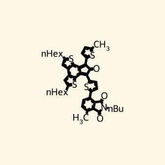 CCCCCCc1cc2c(s1)c1c(c3sc(CCCCCC)cc32)=C(c2ccc(-c3ccc(C)c4c3C(=O)N(CCCC)C4=O)s2)C(=O)C=1c1ccc(C)s1